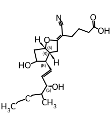 CCCCC(C)[C@H](O)C=C[C@H]1C(O)C[C@@H]2OC(=C(C#N)CCCC(=O)O)C[C@@H]21